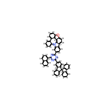 c1ccc(C2(c3ccccc3)c3ccccc3-c3cc(-c4nc(-c5ccc6c7ccc8oc9cccc%10c%11ccccc%11n(c6c5)c7c8c9%10)nc(-c5cccc6ccccc56)n4)ccc32)cc1